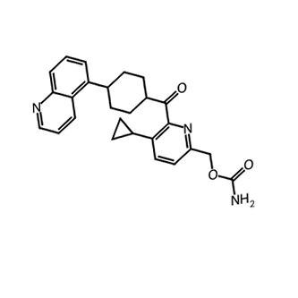 NC(=O)OCc1ccc(C2CC2)c(C(=O)C2CCC(c3cccc4ncccc34)CC2)n1